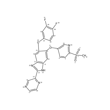 CS(=O)(=O)c1ccc(Oc2cc3[nH]c(-c4cnccn4)nc3cc2Oc2ccc(F)c(F)c2)cn1